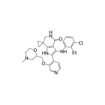 CCc1c(Cl)cccc1Nc1c(-c2ccncc2OCC2CN(C)CCO2)[nH]c2c1C(=O)NCC21CC1